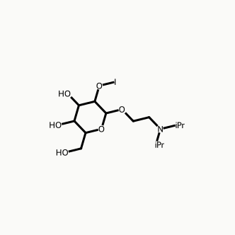 CC(C)N(CCOC1OC(CO)C(O)C(O)C1OI)C(C)C